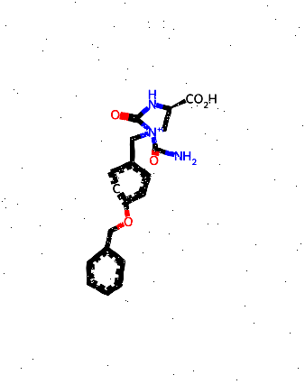 NC(=O)[N+]1(Cc2ccc(OCc3ccccc3)cc2)C[C@H](C(=O)O)NC1=O